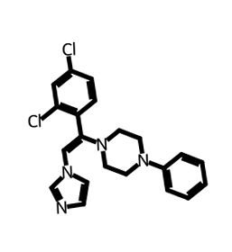 Clc1ccc(C(=Cn2ccnc2)N2CCN(c3ccccc3)CC2)c(Cl)c1